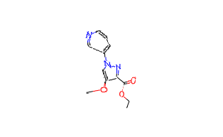 CCOC(=O)c1nn(-c2cccnc2)cc1OC